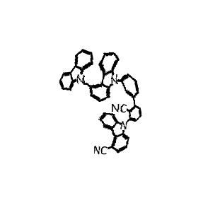 N#Cc1c(-c2cccc(-n3c4ccccc4c4c(-n5c6ccccc6c6ccccc65)cccc43)c2)cccc1-n1c2ccccc2c2c(C#N)cccc21